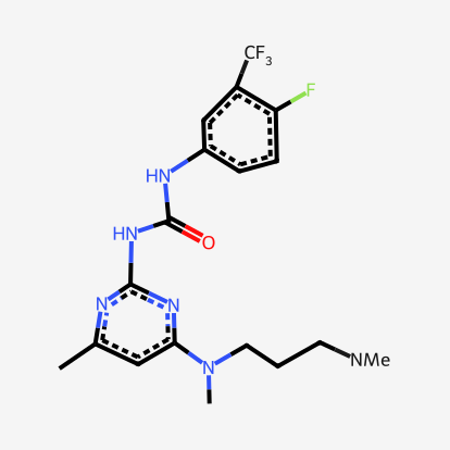 CNCCCN(C)c1cc(C)nc(NC(=O)Nc2ccc(F)c(C(F)(F)F)c2)n1